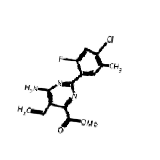 C=Cc1c(N)nc(-c2cc(C)c(Cl)cc2F)nc1C(=O)OC